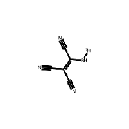 [2H]BC(C#N)=C(C#N)C#N